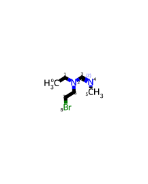 CCN(/C=N\C)CCBr